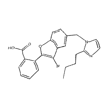 CCCCc1nccn1Cc1ccc2oc(-c3ccccc3C(=O)O)c(Br)c2c1